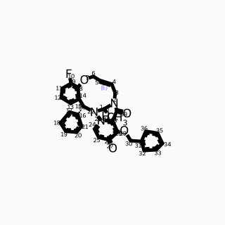 C[C@@H]1N2C/C=C/COc3c(F)cccc3[C@@H](c3ccccc3)N1n1ccc(=O)c(OCc3ccccc3)c1C2=O